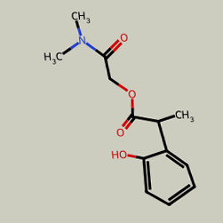 CC(C(=O)OCC(=O)N(C)C)c1ccccc1O